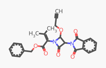 C#CCOC1C(N2C(=O)c3ccccc3C2=O)C(=O)N1C(C(=O)OCc1ccccc1)=C(C)C